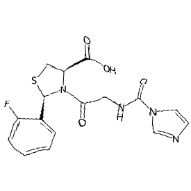 O=C(O)[C@@H]1CS[C@H](c2ccccc2F)N1C(=O)CNC(=O)n1ccnc1